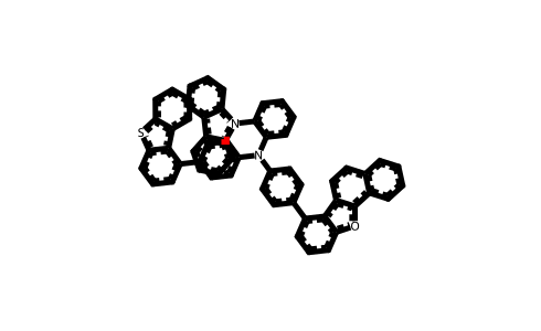 c1ccc(-n2c3ccccc3c3ccccc32)c(N(c2ccc(-c3cccc4oc5c6ccccc6ccc5c34)cc2)c2ccc(-c3cccc4sc5ccccc5c34)cc2)c1